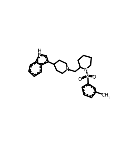 Cc1cccc(S(=O)(=O)N2CCCCC2CN2CCC(c3c[nH]c4ccccc34)CC2)c1